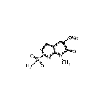 COc1cc2cnc(S(C)(=O)=O)nc2n(C)c1=O